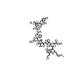 CSCC[C@H](N)C(=O)N[C@@H](CCCCN)C(=O)N[C@@H](CCC(=O)O)C(=O)NCC(=O)N[C@H](C(=O)N[C@@H](CC(=O)O)C(=O)N1CCC[C@H]1C(=O)NCC(=O)N[C@@H](CC(N)=O)C(=O)N[C@@H](Cc1c[nH]cn1)C(=O)O)C(C)C